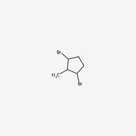 CC1C(Br)CCC1Br